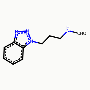 O=CNCCCn1nnc2ccccc21